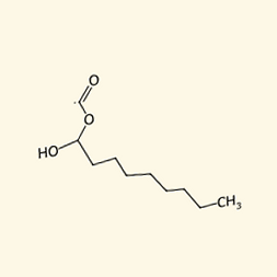 CCCCCCCCC(O)O[C]=O